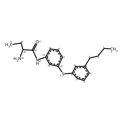 CCCCc1cccc(Sc2cccc(NC(=O)C(N)CC)c2)c1